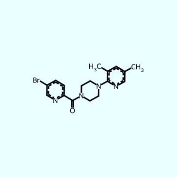 Cc1cnc(N2CCN(C(=O)c3ccc(Br)cn3)CC2)c(C)c1